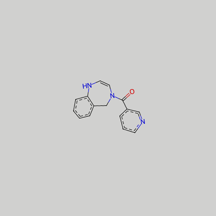 O=C(c1cccnc1)N1C=CNc2ccccc2C1